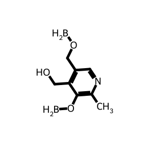 BOCc1cnc(C)c(OB)c1CO